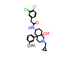 CC(=O)Oc1cccc(C23CCN(CC4CC4)CC2(O)CC[C@@H](NC(=O)Cc2ccc(Cl)c(Cl)c2)C3)c1